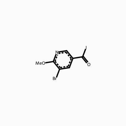 COc1ncc(C(=O)I)cc1Br